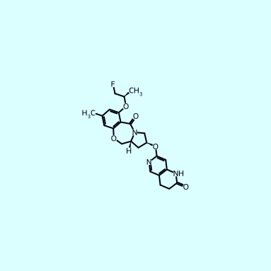 Cc1cc2c(c(O[C@H](C)CF)c1)C(=O)N1C[C@@H](Oc3cc4c(cn3)CCC(=O)N4)C[C@@H]1CO2